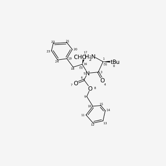 CC(C)(C)[C@H](N)C(=O)N(C(=O)OCc1ccccc1)[C@H](C=O)Cc1ccccc1